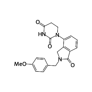 COc1ccc(CN2Cc3c(cccc3N3CCC(=O)NC3=O)C2=O)cc1